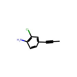 CC#Cc1ccc(N)c(Cl)c1